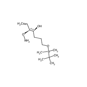 C=C[C@H](ON)[C@@H](O)CCCO[Si](C)(C)C(C)(C)C